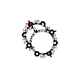 C=CC(=O)OCC1(C)COCCOc2c3cc(C)cc2C(=O)Nc2cccc(c2)NC(=O)c2cc(C)cc(c2O)C(=O)Nc2cccc(c2)NC(=O)c2cc(C)cc(c2OCCOC1)C(=O)Nc1cccc(c1)NC(=O)c1cc(C)cc(c1O)C(=O)Nc1cccc(c1)NC3=O